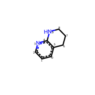 [c]1ccnc2c1CCCN2